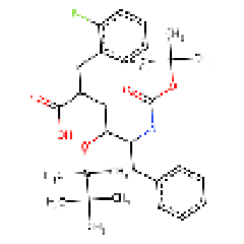 CC(C)(C)OC(=O)NC(Cc1ccccc1)C(CC(Cc1ccccc1F)C(=O)O)O[Si](C)(C)C(C)(C)C